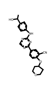 CC(O)c1ccc(Nc2ncnc(-c3ccc(OC4CCOCC4)c(C#N)c3)n2)cc1